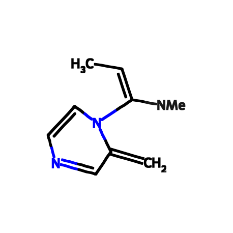 C=C1C=NC=CN1/C(=C\C)NC